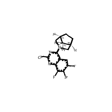 N#C[C@H]1[C@@H]2CC[C@H]1CN(c1nc(Cl)nc3c(F)c(Br)c(F)cc13)C2